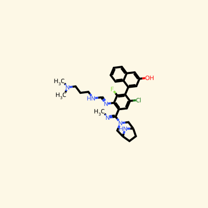 C/N=C(\c1cc(Cl)c(-c2cc(O)cc3ccccc23)c(F)c1/N=C/NCCCN(C)C)N1CC2CCC(C1)N2